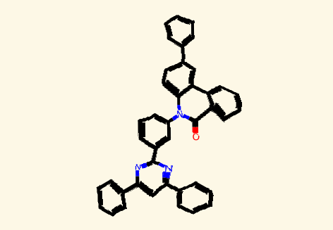 O=c1c2ccccc2c2cc(-c3ccccc3)ccc2n1-c1cccc(-c2nc(-c3ccccc3)cc(-c3ccccc3)n2)c1